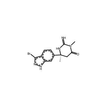 CN1C(=N)N[C@](C)(c2ccc3c(Br)n[nH]c3c2)CC1=O